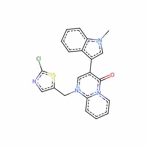 Cn1cc(-c2c[n+](Cc3cnc(Cl)s3)c3ccccn3c2=O)c2ccccc21